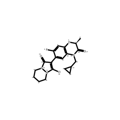 C[C@@H]1Oc2cc(F)c(-c3c(Cl)n4n(c3=O)CCCC4)cc2N(CC2CC2)C1=O